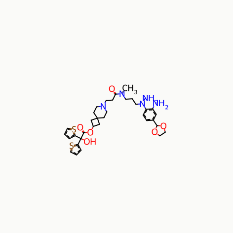 CN(CCCN(N)c1ccc(C2OCCO2)cc1N)C(=O)CCN1CCC2(CC1)CC(OC(=O)C(O)(c1cccs1)c1cccs1)C2